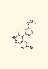 COc1cccc(C2C(=O)NOc3ccc(Br)cc32)c1